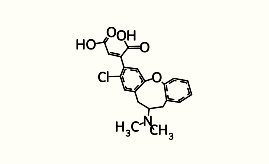 CN(C)C1Cc2ccccc2Oc2cc(/C(=C/C(=O)O)C(=O)O)c(Cl)cc2C1